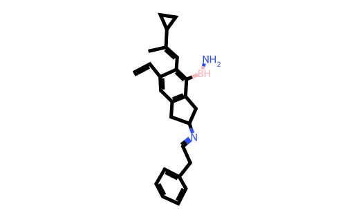 C=Cc1cc2c(c(BN)c1/C=C(\C)C1CC1)CC(/N=C/Cc1ccccc1)C2